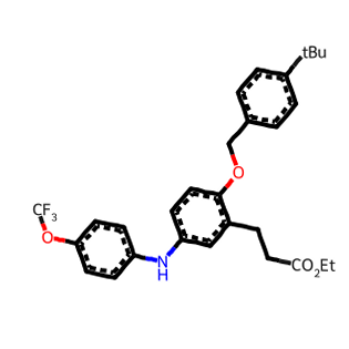 CCOC(=O)CCc1cc(Nc2ccc(OC(F)(F)F)cc2)ccc1OCc1ccc(C(C)(C)C)cc1